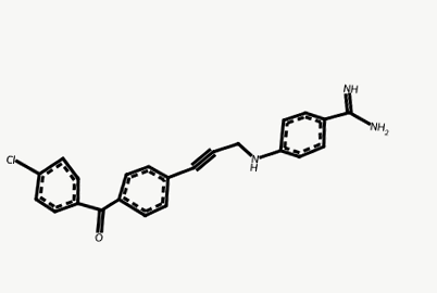 N=C(N)c1ccc(NCC#Cc2ccc(C(=O)c3ccc(Cl)cc3)cc2)cc1